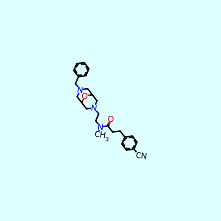 CN(CCN1CC2CN(Cc3ccccc3)CC(C1)O2)C(=O)CCc1ccc(C#N)cc1